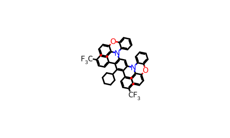 FC(F)(F)c1ccc(-c2c(N3c4ccccc4Oc4ccccc43)cc(N3c4ccccc4Oc4ccccc43)c(-c3ccc(C(F)(F)F)cc3)c2C2CCCCC2)cc1